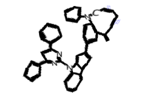 C=C1/C=C\C=C/CN(c2ccccc2)c2ccc(-c3ccc4c5ccccc5n(-c5nc(-c6ccccc6)cc(-c6ccccc6)n5)c4c3)cc21